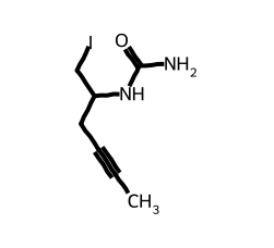 CC#CCC(CI)NC(N)=O